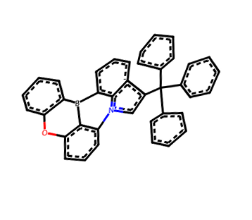 c1ccc(C(c2ccccc2)(c2ccccc2)c2cn3c4c(cccc24)B2c4ccccc4Oc4cccc-3c42)cc1